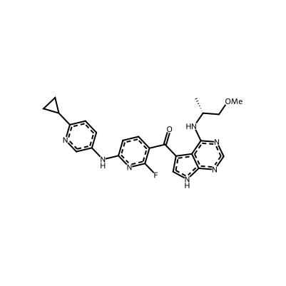 COC[C@@H](C)Nc1ncnc2[nH]cc(C(=O)c3ccc(Nc4ccc(C5CC5)nc4)nc3F)c12